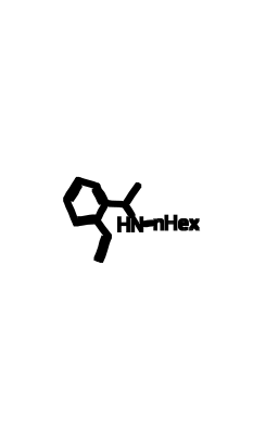 C=Cc1ccccc1C(C)NCCCCCC